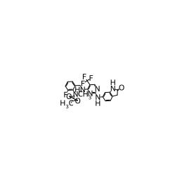 CN(c1c(F)cccc1CNc1nc(Nc2ccc3c(c2)NC(=O)C3)ncc1C(F)(F)F)S(C)(=O)=O